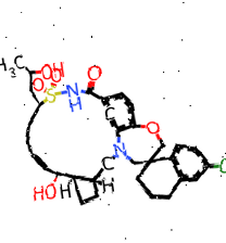 C[C@@H](O)C[C@@H]1CC/C=C\[C@H](O)[C@@H]2CC[C@H]2CN2C[C@@]3(CCCc4cc(Cl)ccc43)COc3ccc(cc32)C(=O)NS1(=O)=O